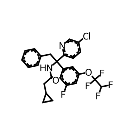 O=C(CC1CC1)NC(Cc1ccccc1)(c1cc(F)cc(OC(F)(F)C(F)F)c1)c1ccc(Cl)cn1